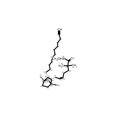 C#CCCCCCSCCCC[C@@H]1[C@H](C/C=C\CCC(C)(C)C(=O)N(C)O)[C@@H]2CC[C@H]1O2